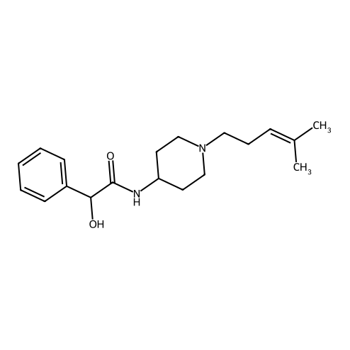 CC(C)=CCCN1CCC(NC(=O)C(O)c2ccccc2)CC1